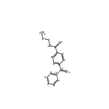 O=C(OCCC(F)(F)F)c1ccc(C(=O)c2ccccc2)cc1